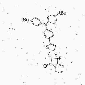 CC(C)(C)c1ccc(N(c2ccc(-c3ccc(/C=C4/C(=O)c5ccccc5C4(F)F)s3)cc2)c2ccc(C(C)(C)C)cc2)cc1